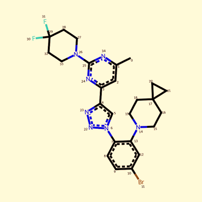 Cc1cc(-c2cn(-c3ccc(Br)cc3N3CCC4(CC3)CC4)nn2)nc(N2CCC(F)(F)CC2)n1